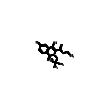 CCOC(=O)c1c(O)c2cc(Br)ccc2c(=O)n1CC(C)(C)C